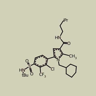 Cc1c(C(=O)NCCC(C)C)cc(-c2ccc(S(=O)(=O)NC(C)(C)C)c(C(F)(F)F)c2Cl)n1CC1CCCCC1